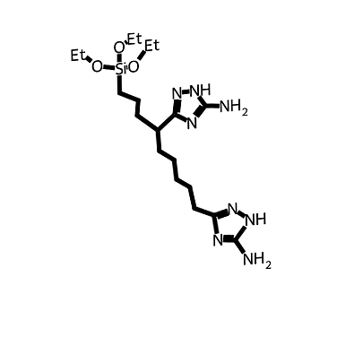 CCO[Si](CCCC(CCCCCc1n[nH]c(N)n1)c1n[nH]c(N)n1)(OCC)OCC